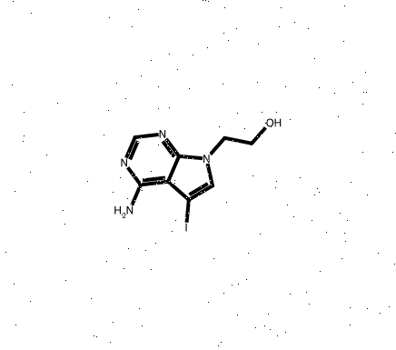 Nc1ncnc2c1c(I)cn2CCO